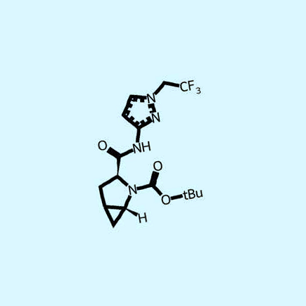 CC(C)(C)OC(=O)N1[C@@H]2CC2C[C@H]1C(=O)Nc1ccn(CC(F)(F)F)n1